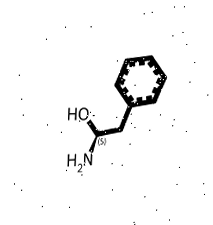 N[C@@H](O)Cc1ccccc1